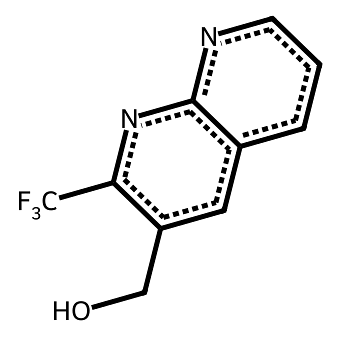 OCc1cc2cccnc2nc1C(F)(F)F